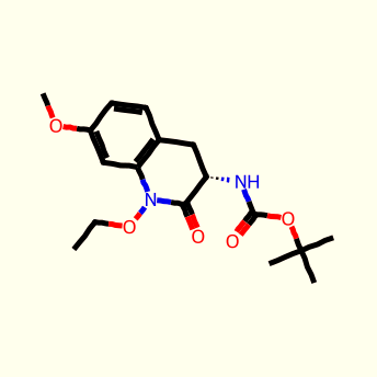 CCON1C(=O)[C@@H](NC(=O)OC(C)(C)C)Cc2ccc(OC)cc21